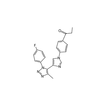 CCC(=O)c1ccc(-n2cnc(-c3c(C)nnn3-c3ccc(F)cc3)c2)cc1